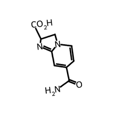 NC(=O)C1=CC2=NC(C(=O)O)CN2C=C1